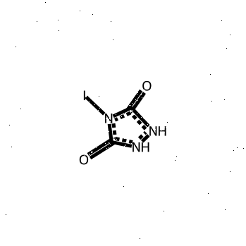 O=c1[nH][nH]c(=O)n1I